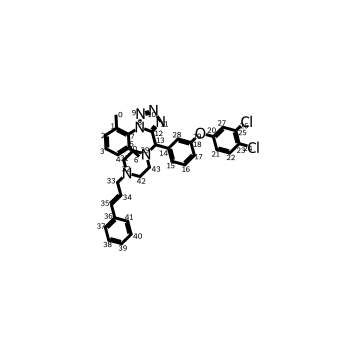 Cc1cccc(C)c1-n1nnnc1C(c1cccc(Oc2ccc(Cl)c(Cl)c2)c1)N1CCN(C/C=C/c2ccccc2)CC1